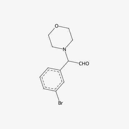 O=CC(c1cccc(Br)c1)N1CCOCC1